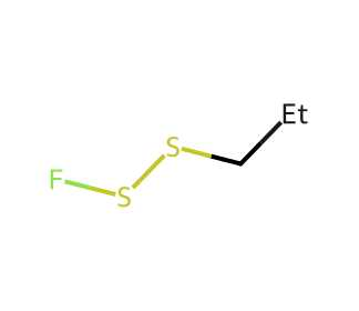 CCCSSF